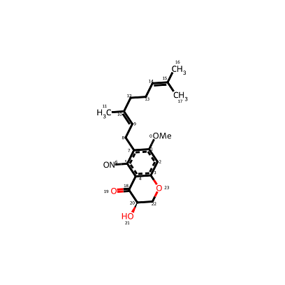 COc1cc2c(c(N=O)c1C/C=C(\C)CCC=C(C)C)C(=O)[C@H](O)CO2